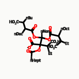 CCCCCCCCCCC(C(=O)OC(CCCCCCCCC)(OC(=O)C(CCCCCCCC)C(CC)C(=O)O)C(OC(=O)CCCCCCC)(C([O])=O)C(CC)C(=O)O)C(CCCC)C(=O)O